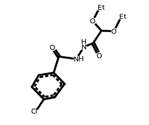 CCOC(OCC)C(=O)NNC(=O)c1ccc(Cl)cc1